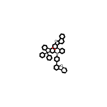 C1=CC2Oc3c(-c4ccc(N(c5ccc6c(c5)C(c5ccccc5)(c5ccccc5)c5ccccc5-6)c5ccccc5-c5cccc6oc7c8ccccc8ccc7c56)cc4)cccc3C2C=C1